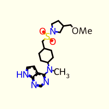 COCC1CCN(S(=O)(=O)CC2CCC(N(C)c3ncnc4[nH]ccc34)CC2)C1